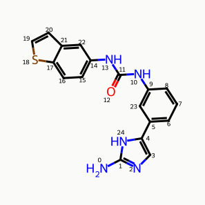 Nc1ncc(-c2cccc(NC(=O)Nc3ccc4sccc4c3)c2)[nH]1